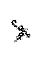 CC(C)NC(=O)C1CCC([C@H]2/C(=N\C(=O)c3cncs3)Nc3cnc(OCCN4CCCCC4)cc32)CC1